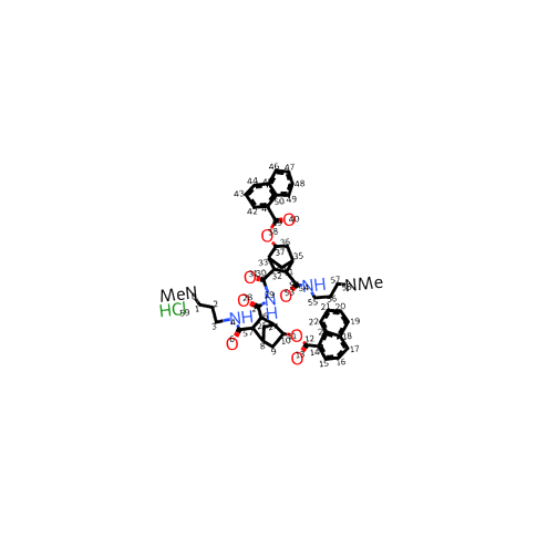 CNCCCNC(=O)C1C2CC(OC(=O)c3cccc4ccccc34)C(C2)C1C(=O)NC(=O)C1C2CC(CC2OC(=O)c2cccc3ccccc23)C1C(=O)NCCCNC.Cl